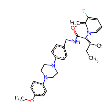 C=C1C(F)=CC=CN1/C(C(=O)NCc1ccc(N2CCN(c3ccc(OC)cc3)CC2)cc1)=C(\C)CC